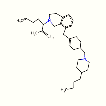 C=CCCC(C(=C)C)N1CCc2cccc(CC3=CCC(CN4CCC(CCCC)CC4)CC3)c2C1